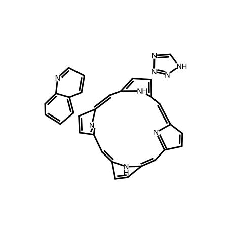 C1=Cc2cc3ccc(cc4nc(cc5ccc(cc1n2)[nH]5)C=C4)[nH]3.c1ccc2ncccc2c1.c1nnn[nH]1